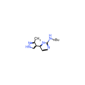 CCCCNc1nccc(-c2c[nH]nc2C)n1